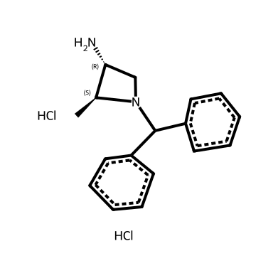 C[C@H]1[C@H](N)CN1C(c1ccccc1)c1ccccc1.Cl.Cl